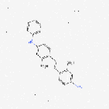 Nc1ccc(C=Cc2ccc(Nc3ccccc3)cc2S(=O)(=O)O)c(S(=O)(=O)O)c1